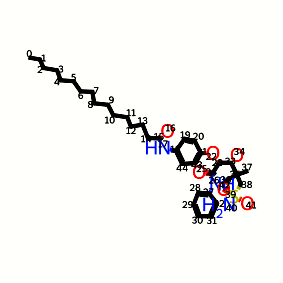 CCCCCCCCCCCCCCCC(=O)Nc1ccc(OC(C(=O)Nc2ccccc2)C(=O)C(C)(C)CS(N)(=O)=O)cc1